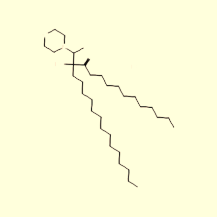 CCCCCCCCCCCCCCC(O)(C(=O)CCCCCCCCCCC)C(C)N1CCOCC1.Cl